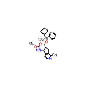 CC(C)(C)OC(=O)N[C@@H]1c2ccnc(C#N)c2C[C@H]1CO[Si](c1ccccc1)(c1ccccc1)C(C)(C)C